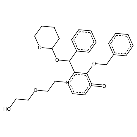 O=c1ccn(CCOCCO)c(C(OC2CCCCO2)c2ccccc2)c1OCc1ccccc1